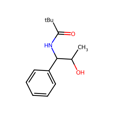 CC(O)C(NC(=O)C(C)(C)C)c1ccccc1